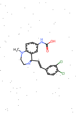 CN1CCN=C(C=Cc2ccc(Cl)c(Cl)c2)c2cc(NC(=O)O)ccc21